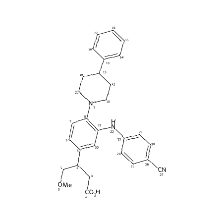 COCC(CC(=O)O)c1ccc(N2CCC(c3ccccc3)CC2)c(Nc2ccc(C#N)cc2)c1